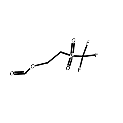 O=[C]OCCS(=O)(=O)C(F)(F)F